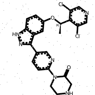 C[C@@H](Oc1ccc2[nH]nc(-c3ccc(N4CCNCC4=O)nc3)c2c1)c1c(Cl)cncc1Cl